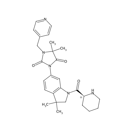 CC1(C)CN(C(=O)[C@@H]2CCCCN2)c2cc(N3C(=O)N(Cc4ccncc4)C(C)(C)C3=O)ccc21